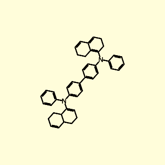 C1=CC2=CCCC(N(c3ccccc3)c3ccc(-c4ccc(N(C5=CCCC6C=CCCC56)c5ccccc5)cc4)cc3)=C2CC1